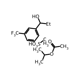 CC(=O)OC(C)C.CCC(O)c1cccc(C(F)(F)F)c1.CS(=O)(=O)O